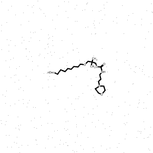 CCCCCCCCCCCCCCCCCCOCC(C)(C)COC(=O)NCCCN1CCOCC1